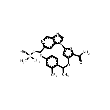 CC(Oc1cc(-n2cnc3cnc(CO[Si](C)(C)C(C)(C)C)cc32)sc1C(N)=O)c1ccc(F)cc1C(F)(F)F